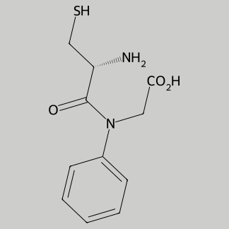 N[C@@H](CS)C(=O)N(CC(=O)O)c1ccccc1